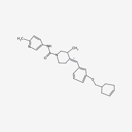 Cc1ccc(NC(=O)N2CC/C(=C\c3cccc(OCC4CC=CCC4)c3)C(C)C2)cn1